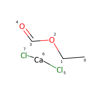 CCOC=O.[Cl][Ca][Cl]